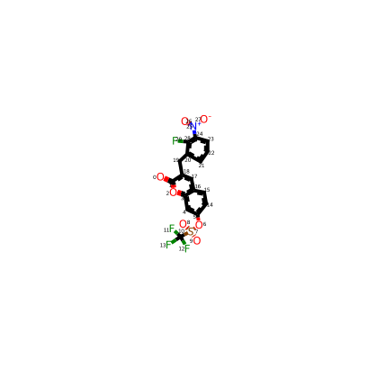 O=c1oc2cc(OS(=O)(=O)C(F)(F)F)ccc2cc1Cc1cccc([N+](=O)[O-])c1F